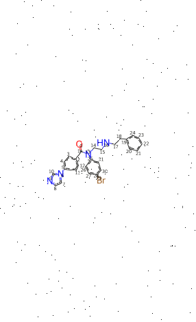 O=C(c1ccc(-n2ccnc2)cc1)N(CCNCCc1ccccc1)c1ccc(Br)cc1